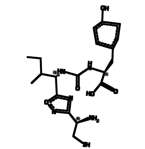 CCC(C)[C@H](NC(=O)N[C@@H](Cc1ccc(O)cc1)C(=O)O)c1nc([C@@H](N)CS)no1